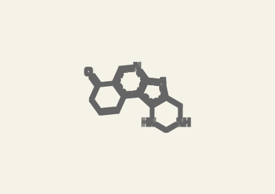 O=C1CC=Cc2c1cnc1sc3c(c21)NCNC3